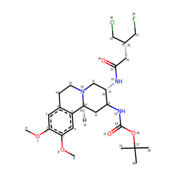 COc1cc2c(cc1OC)[C@@H]1CC(NC(=O)OC(C)(C)C)[C@@H](NC(=O)C[C@@H](CF)CCl)CN1CC2